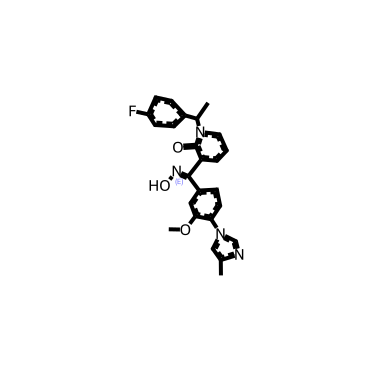 COc1cc(/C(=N\O)c2cccn(C(C)c3ccc(F)cc3)c2=O)ccc1-n1cnc(C)c1